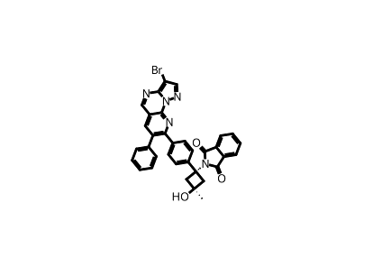 C[C@]1(O)C[C@](c2ccc(-c3nc4c(cnc5c(Br)cnn54)cc3-c3ccccc3)cc2)(N2C(=O)c3ccccc3C2=O)C1